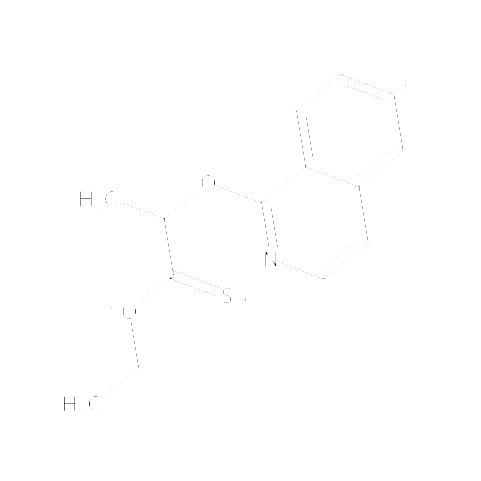 CCOC(=S)C(C)Oc1nccc2ccccc12